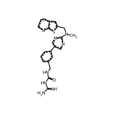 CN(Cc1cc2cccnc2s1)c1ncc(-c2cccc(CNC(=O)NC(=N)N)c2)cn1